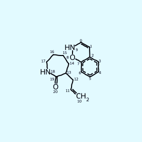 C1=Cc2ccccc2ON1.C=CCC1CCCCNC1=O